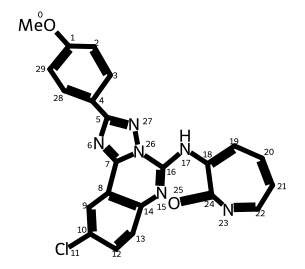 COc1ccc(-c2nc3c4cc(Cl)ccc4nc(Nc4ccccnc4=O)n3n2)cc1